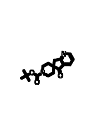 CC(C)(C)OC(=O)N1CCC2(CC1)Cc1ncccc1C2=O